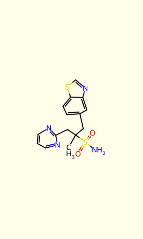 CC(Cc1ccc2scnc2c1)(Cc1ncccn1)S(N)(=O)=O